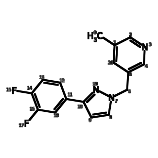 Cc1cncc(Cn2ccc(-c3ccc(F)c(F)c3)n2)c1